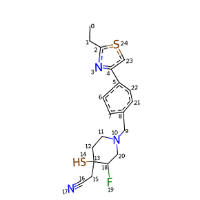 CCc1nc(-c2ccc(CN3CCC(S)(CC#N)C(F)C3)cc2)cs1